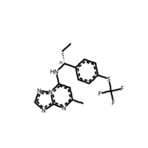 CC[C@@H](Nc1cc(C)nc2ncnn12)c1ccc(SC(F)(F)F)cc1